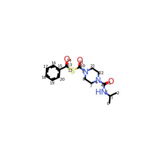 CC(C)NC(=O)N1CCN(C(=O)SC(=O)c2ccccc2)CC1